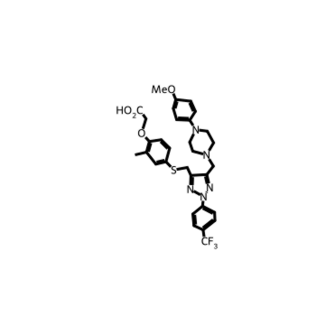 COc1ccc(N2CCN(Cc3nn(-c4ccc(C(F)(F)F)cc4)nc3CSc3ccc(OCC(=O)O)c(C)c3)CC2)cc1